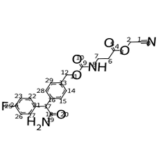 N#CCOC(=O)CCNC(=O)OCc1ccc(C(C(N)=O)c2ccc(F)cc2)cc1